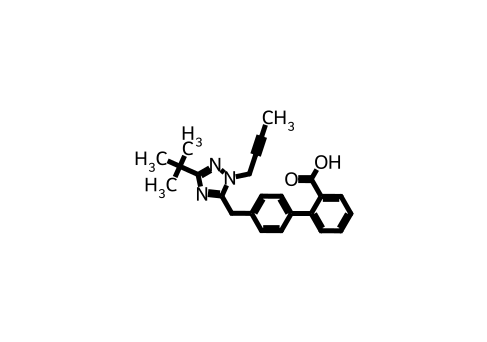 CC#CCn1nc(C(C)(C)C)nc1Cc1ccc(-c2ccccc2C(=O)O)cc1